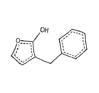 Oc1occc1Cc1ccccc1